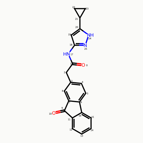 O=C(Cc1ccc2c(c1)C(=O)c1ccccc1-2)Nc1cc(C2CC2)[nH]n1